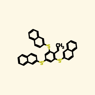 C=Cc1c(Sc2ccc3ccccc3c2)cc(Sc2ccc3ccccc3c2)cc1Sc1ccc2ccccc2c1